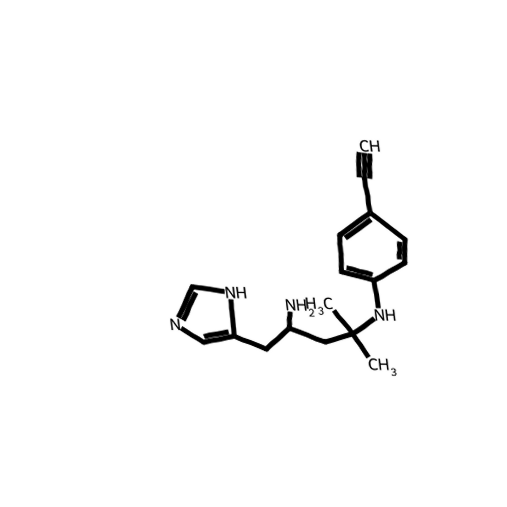 C#Cc1ccc(NC(C)(C)CC(N)Cc2cnc[nH]2)cc1